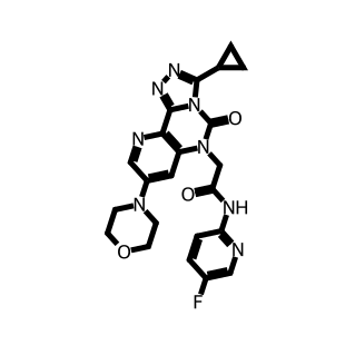 O=C(Cn1c(=O)n2c(C3CC3)nnc2c2ncc(N3CCOCC3)cc21)Nc1ccc(F)cn1